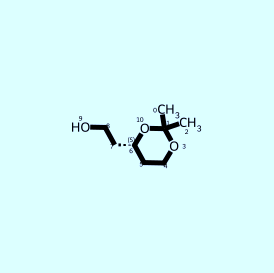 CC1(C)OCC[C@H](CCO)O1